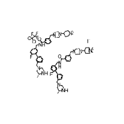 C[C@H]1CN(Cc2cccc(-c3cc(CNC(=O)c4cccc(CN5CCN(C6CC[N+](C)(C)CC6)CC5)c4)ccc3F)c2)CCN1.C[C@H]1CN(Cc2cccc(-c3cc(CNC(=O)c4cccc(CN5CCN(C6CC[N+](C)(C)CC6)CC5)c4)ccc3F)c2)CCN1.O=C([O-])C(F)(F)F.[I-]